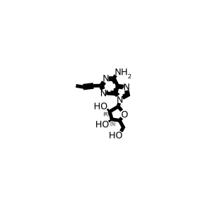 CC#Cc1nc(N)c2ncn(C3OC(CO)[C@@H](O)[C@H]3O)c2n1